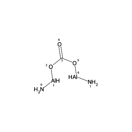 [NH2][AlH][O]C(=O)[O][AlH][NH2]